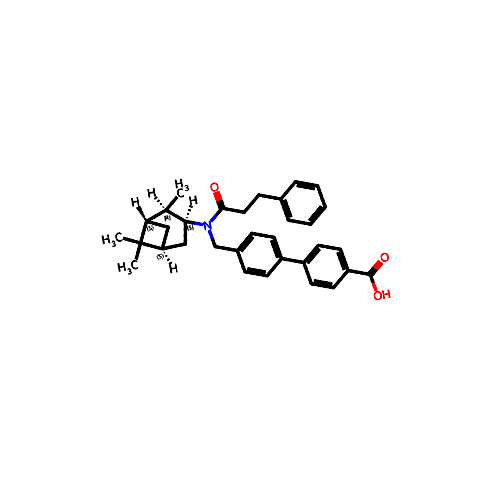 C[C@H]1[C@@H](N(Cc2ccc(-c3ccc(C(=O)O)cc3)cc2)C(=O)CCc2ccccc2)C[C@@H]2C[C@@H]1C2(C)C